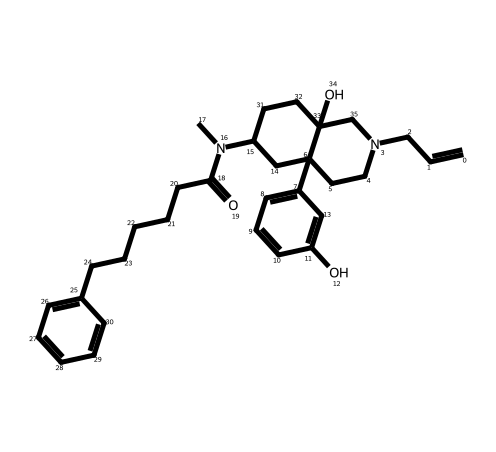 C=CCN1CCC2(c3cccc(O)c3)CC(N(C)C(=O)CCCCCc3ccccc3)CCC2(O)C1